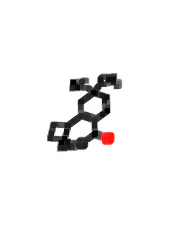 COC(=O)C1=C(C2CCC2)CC(C)(C#N)C=C1